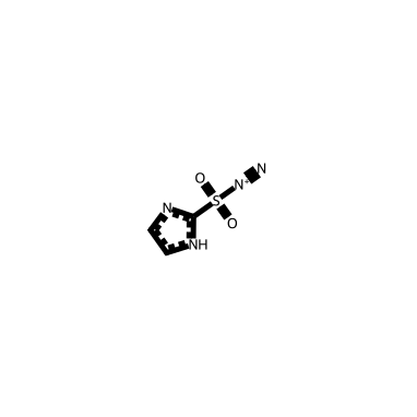 N#[N+]S(=O)(=O)c1ncc[nH]1